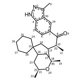 Cc1n[nH]c2ccc(C(=O)[C@@H](C)C(C)CC3(C4C[C@@H](C)O[C@@H](C)C4)CCCCC3)cc12